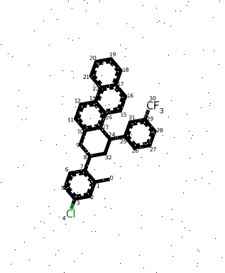 Cc1cc(Cl)ccc1C1Cc2ccc3c(ccc4ccccc43)c2C(c2cccc(C(F)(F)F)c2)C1